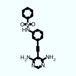 Nc1ncnc(N)c1C#Cc1cccc(NS(=O)(=O)c2ccccc2)c1